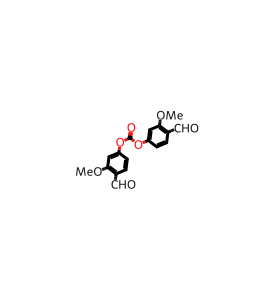 COc1cc(OC(=O)Oc2ccc(C=O)c(OC)c2)ccc1C=O